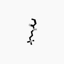 C/C=C\C(=O)NCCC[N+](C)(C)C